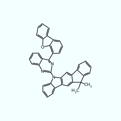 CC1(C)c2ccccc2-c2cc3c(cc21)c1ccccc1n3-c1nc(-c2cccc3c2oc2ccccc23)c2ccccc2n1